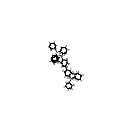 c1ccc(N(c2ccccc2)c2ccccc2-n2c3ccccc3c3cc(-c4ccc5c(c4)c4ccccc4n5-c4ccccc4)ccc32)cc1